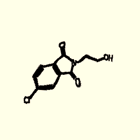 O=C1c2ccc(Cl)cc2C(=O)N1CCO